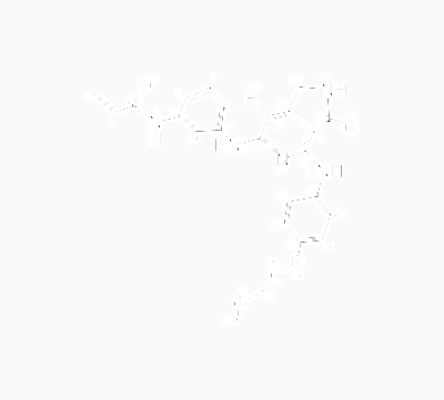 C=CC(=O)Nc1cccc(Nc2nc(Nc3ccc(OCCOC)cc3)c3c(c2F)CNC3=O)c1